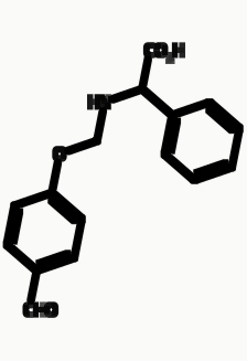 O=Cc1ccc(OCNC(C(=O)O)c2ccccc2)cc1